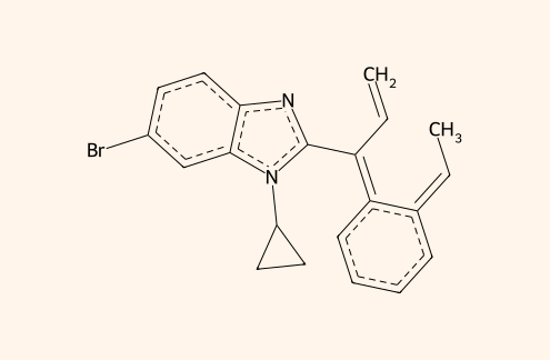 C=C/C(c1nc2ccc(Br)cc2n1C1CC1)=c1/cccc/c1=C/C